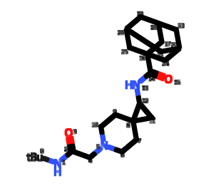 CC(C)(C)NC(=O)CN1CCC2(CC1)CC2NC(=O)C12CC3CC(CC(C3)C1)C2